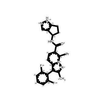 Cc1nn2c(C(C)C)c(C(=O)NC3CCc4[nH]ncc43)ccc2c1-c1c(F)cccc1F